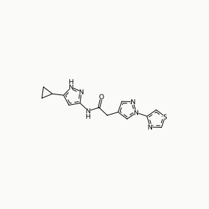 O=C(Cc1cnn(-c2cscn2)c1)Nc1cc(C2CC2)[nH]n1